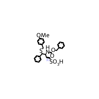 COc1ccc(CSC(c2ccccc2)C(/C=C/S(=O)(=O)O)NC(=O)OCc2ccccc2)cc1